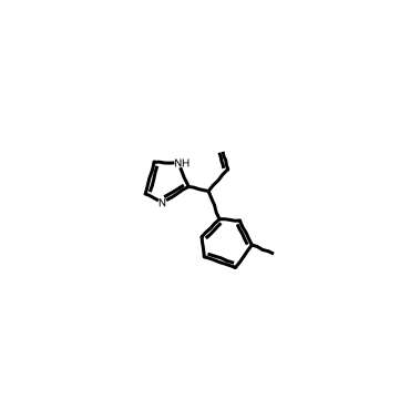 C=CC(c1cccc(C)c1)c1ncc[nH]1